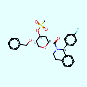 CS(=O)(=O)O[C@H]1C[C@H](C(=O)N2CCc3ccccc3[C@@H]2c2ccc(F)cc2)OC[C@@H]1OCc1ccccc1